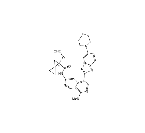 CNc1ncc(-c2nc3ccc(N4CCOCC4)cn3n2)c2cc(NC(=O)[C@]3(OC=O)CC34CC4)ncc12